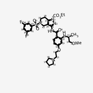 CCOC(=O)n1nc(NC(=O)c2ccc(OCCN3CCCC3)cc2N[C@@H](C)COC)c2c1CCN(S(=O)(=O)c1cc(F)cc(F)c1)C2